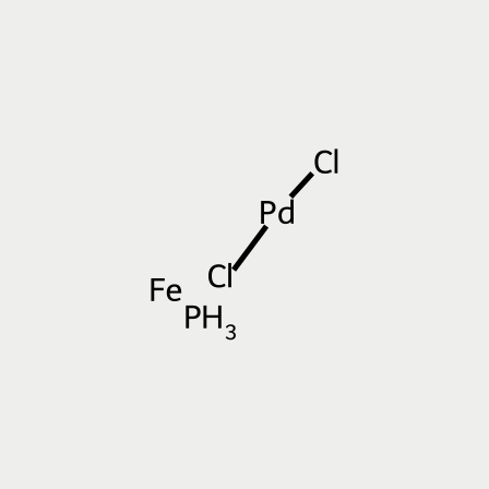 P.[Cl][Pd][Cl].[Fe]